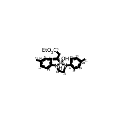 C=C(CC(=O)OCC)[PH]1(O)N(c2ccc(C)cc2)CCN1c1ccc(C)cc1